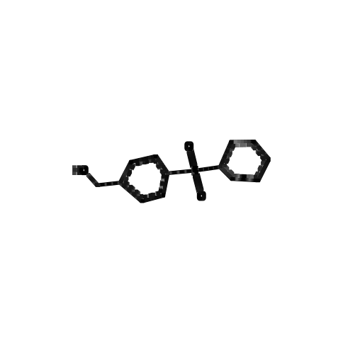 O=S(=O)(c1ccccc1)c1ccc(CO)cc1